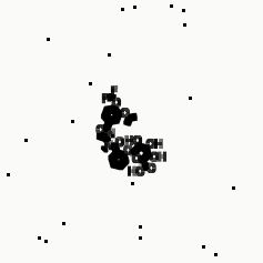 CC(C)Oc1cc(-c2nc(N(C)C(=O)c3ccccc3O[C@@H]3O[C@H](C(=O)O)[C@@H](O)[C@H](O)[C@H]3O)co2)ccc1OC(F)F